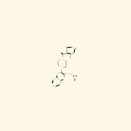 O=C(c1c(F)cc(Cl)cc1F)N1CCN(c2nc3cnccc3nc2NC2CC2)CC1